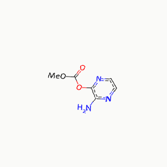 COC(=O)Oc1nccnc1N